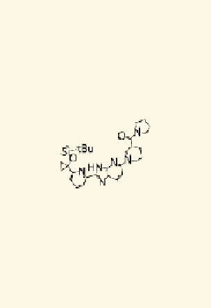 CC(C)(C)[Si](C)(C)OC1(c2cccc(-c3nc4ccc(N5CCCC(C(=O)N6CCCC6)C5)nc4[nH]3)n2)CC1